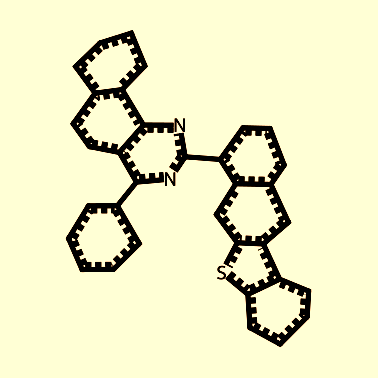 c1ccc(-c2nc(-c3cccc4cc5c(cc34)sc3ccccc35)nc3c2ccc2ccccc23)cc1